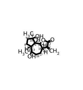 C=C1C(=O)O[C@@H]2[C@@H]3[C@@H](CC[C@@]3(C)O)[C@](C)(O)CC[C@@H]12